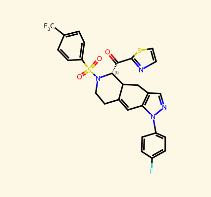 O=C(c1nccs1)[C@@H]1C2Cc3cnn(-c4ccc(F)cc4)c3C=C2CCN1S(=O)(=O)c1ccc(C(F)(F)F)cc1